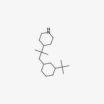 CC(C)(C)C1CCCC(CC(C)(C)C2CCNCC2)C1